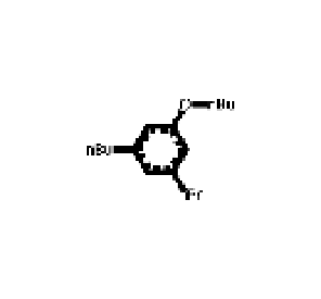 [CH2]C(C)c1cc(CCCC)cc(OCCCC)c1